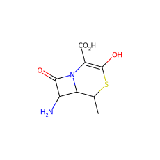 CC1SC(O)=C(C(=O)O)N2C(=O)C(N)C12